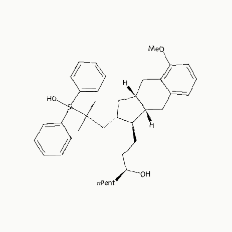 CCCCC[C@H](O)CC[C@H]1[C@H](CC(C)(C)[Si](O)(c2ccccc2)c2ccccc2)C[C@@H]2Cc3c(cccc3OC)C[C@@H]21